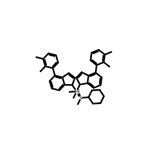 Cc1cccc(-c2cccc3c2C=C[CH]3[Hf]([CH3])([CH3])([CH]2C=Cc3c(-c4cccc(C)c4C)cccc32)=[Si](C)C2CCCCC2)c1C